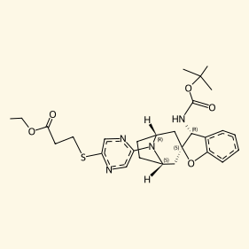 CCOC(=O)CCSc1cnc(N2[C@@H]3CC[C@H]2C[C@@]2(C3)Oc3ccccc3[C@H]2NC(=O)OC(C)(C)C)cn1